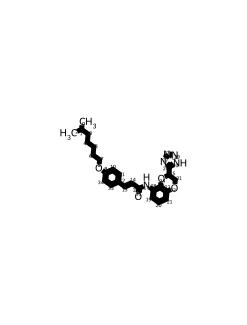 CC(C)CCCCCOc1ccc(C=CC(=O)Nc2cccc3c2OC(c2nnn[nH]2)CO3)cc1